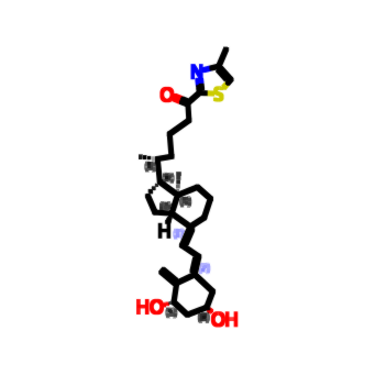 C=C1/C(=C\C=C2/CCC[C@]3(C)[C@@H]([C@H](C)CCCC(=O)c4nc(C)cs4)CC[C@@H]23)C[C@@H](O)C[C@@H]1O